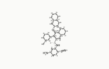 C[C@@H](Nc1nc(N)ncc1C#N)c1nc2cccc(-c3cnc4ccccc4c3)c2c(=O)n1-c1cccc(F)c1